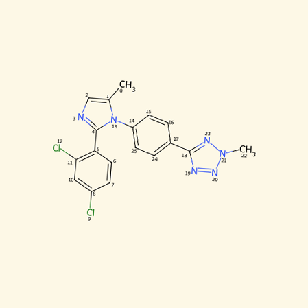 Cc1cnc(-c2ccc(Cl)cc2Cl)n1-c1ccc(-c2nnn(C)n2)cc1